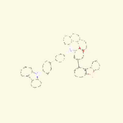 c1cc(-c2cccc3oc4ccccc4c23)cc(N(c2ccc(-c3ccc(-n4c5ccccc5c5ccccc54)cc3)cc2)c2cccc3ccc4ccccc4c23)c1